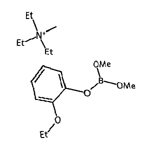 CCOc1ccccc1OB(OC)OC.CC[N+](C)(CC)CC